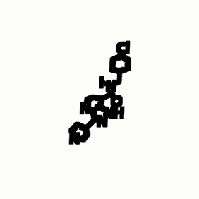 O=C(c1ccnc2c(-c3ccncc3)n[nH]c12)N(I)Cc1ccc(Cl)cc1